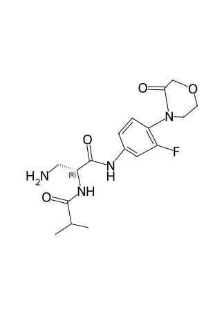 CC(C)C(=O)N[C@H](CN)C(=O)Nc1ccc(N2CCOCC2=O)c(F)c1